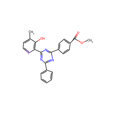 COC(=O)c1ccc(-c2nc(C3=C(O)C(C)=CC=I3)nc(-c3ccccc3)n2)cc1